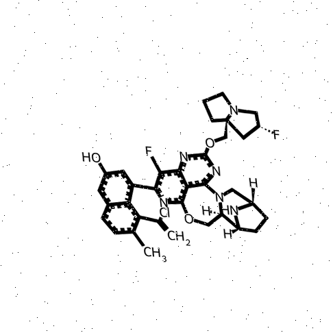 C=C(Cl)c1c(C)ccc2cc(O)cc(-c3nc4c5c(nc(OC[C@@]67CCCN6C[C@H](F)C7)nc5c3F)N3C[C@@H]5CC[C@@H](N5)[C@H]3CO4)c12